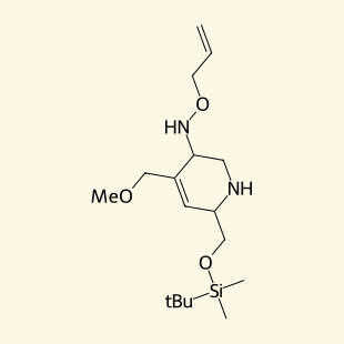 C=CCONC1CNC(CO[Si](C)(C)C(C)(C)C)C=C1COC